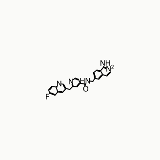 Nc1nccc2cc(CNC(=O)c3ccnc(Cc4cnc5ccc(F)cc5c4)c3)ccc12